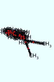 CCCCCCCCCCCCC/C=C/[C@@H](O)[C@H](CO[C@@H]1OC(CO)[C@@H](O[C@@H]2OC(CO)[C@H](O)[C@H](O[C@@H]3OC(CO)[C@@H](O[C@@H]4OC(CO)[C@H](O)[C@H](O[C@@H]5OC(CO)[C@@H](O)[C@H](O[C@@H]6OC(CO)[C@H](O)[C@H](O)C6O)C5NC(C)=O)C4O)[C@H](O[C@H]4OC(C)[C@@H](O)C(O)[C@@H]4O)C3NC(C)=O)C2O)[C@H](O)C1O)NC(=O)CCCCCCCCCCCCCCCCC